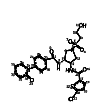 O=C(N[C@@H]1CN(S(=O)(=O)CCO)C[C@H]1NC(=O)c1ccc(Cl)s1)c1ccc(-n2ccccc2=O)cc1